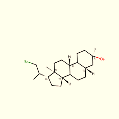 CC(CBr)[C@H]1CC[C@H]2C3CC[C@H]4C[C@](C)(O)CCC4[C@H]3CC[C@]12C